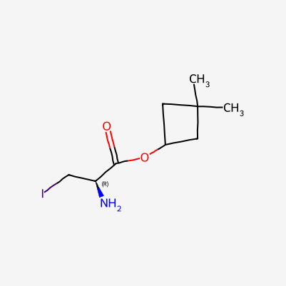 CC1(C)CC(OC(=O)[C@@H](N)CI)C1